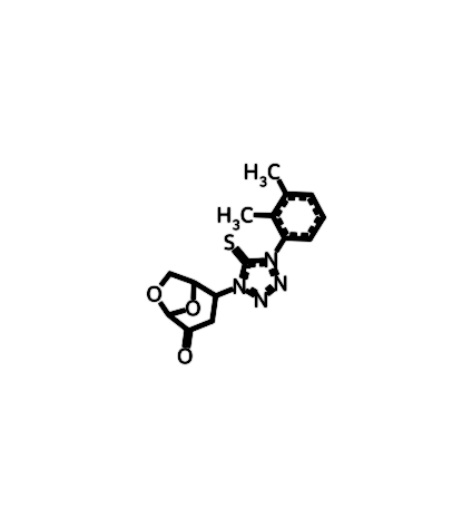 Cc1cccc(-n2nnn(C3CC(=O)C4OCC3O4)c2=S)c1C